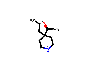 CCCC1(C(C)=O)CCNCC1